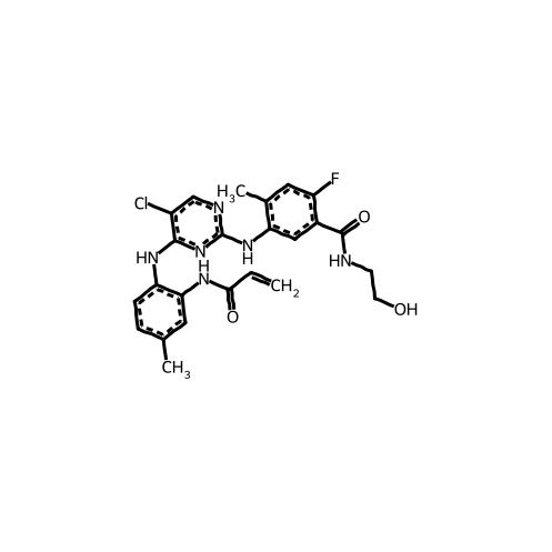 C=CC(=O)Nc1cc(C)ccc1Nc1nc(Nc2cc(C(=O)NCCO)c(F)cc2C)ncc1Cl